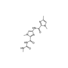 CNC(=O)NC(=O)c1nc(NC(=O)c2nc(C)cn2C)cn1C